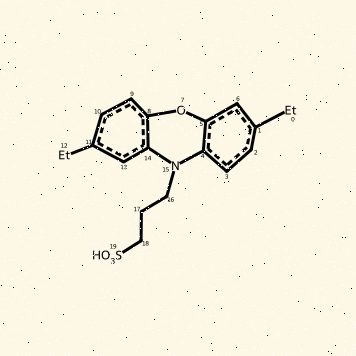 CCc1ccc2c(c1)Oc1ccc(CC)cc1N2CCCS(=O)(=O)O